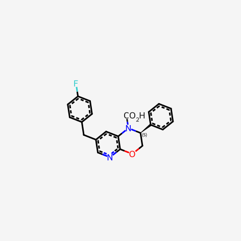 O=C(O)N1c2cc(Cc3ccc(F)cc3)cnc2OC[C@@H]1c1ccccc1